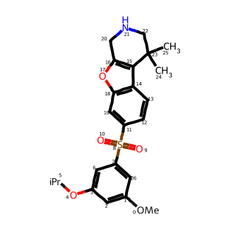 COc1cc(OC(C)C)cc(S(=O)(=O)c2ccc3c4c(oc3c2)CNCC4(C)C)c1